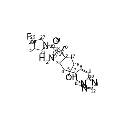 C[C@@H](C1CCC(O)(c2ccc3ncnn3c2)CC1)[C@H](N)C(=O)N1CC[C@H](F)C1